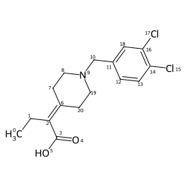 CCC(C(=O)O)=C1CCN(Cc2ccc(Cl)c(Cl)c2)CC1